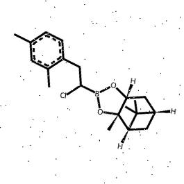 Cc1ccc(CC(Cl)B2O[C@@H]3C[C@@H]4C[C@@H](C4(C)C)[C@]3(C)O2)c(C)c1